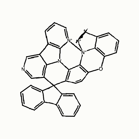 c1ccc2c(c1)-c1ccccc1C21c2ccc3c4c2-n2c5c1cncc5c1ccc[n+](c12)[N+]41c2c(cccc2-c2cccc[n+]21)O3